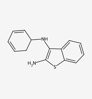 Nc1sc2ccccc2c1NC1C=CC=CC1